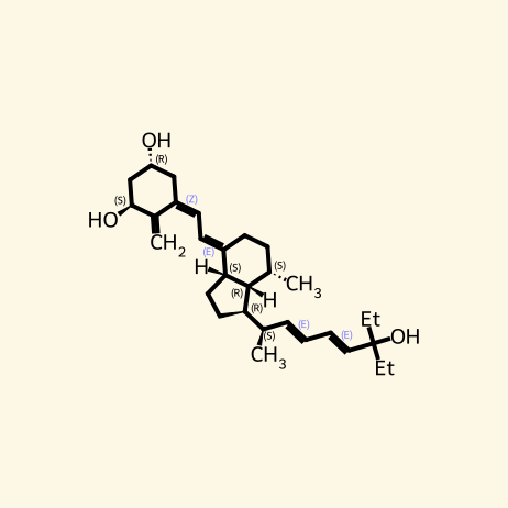 C=C1/C(=C\C=C2/CC[C@H](C)[C@@H]3[C@@H]([C@H](C)/C=C/C=C/C(O)(CC)CC)CC[C@H]23)C[C@@H](O)C[C@@H]1O